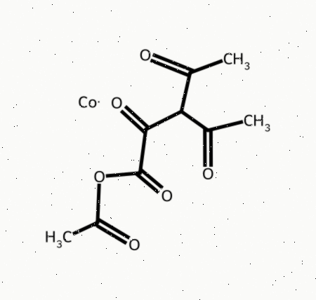 CC(=O)OC(=O)C(=O)C(C(C)=O)C(C)=O.[Co]